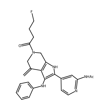 C=C1CN(C(=O)CCCF)Cc2[nH]c(-c3ccnc(NC(C)=O)c3)c(Nc3ccccc3)c21